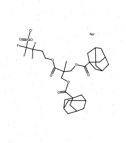 CC(COC(=O)C12CC3CC(CC(C3)C1)C2)(COC(=O)C12CC3CC(CC(C3)C1)C2)C(=O)OCCC(F)(F)C(F)(F)S(=O)(=O)[O-].[Na+]